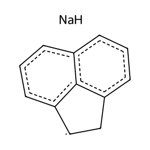 [CH]1Cc2cccc3cccc1c23.[NaH]